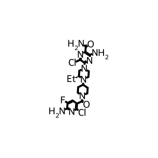 CC[C@H]1CN(c2nc(N)c(C(N)=O)nc2Cl)CCN1C1CCN(C(=O)c2cc(F)c(N)nc2Cl)CC1